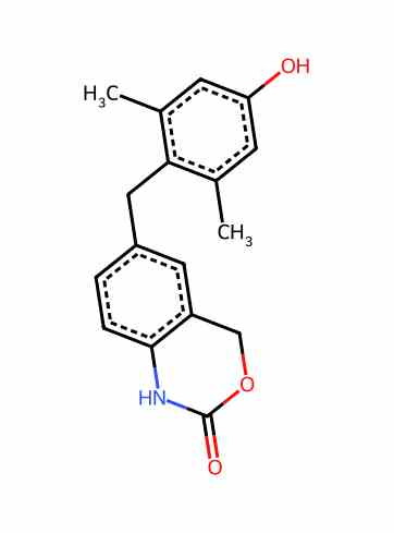 Cc1cc(O)cc(C)c1Cc1ccc2c(c1)COC(=O)N2